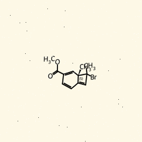 COC(=O)C1=C[C@@]2(C)C(=CC2(C)Br)C=C1